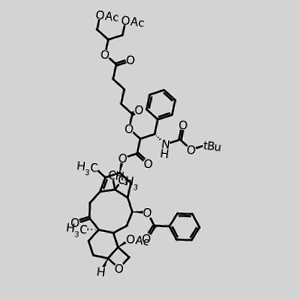 CC(=O)OCC(COC(C)=O)OC(=O)CCCC(=O)OC(C(=O)O[C@H]1CC2[C@@H](OC(=O)c3ccccc3)CC3[C@@](C)(CC[C@H]4OC[C@@]34OC(C)=O)C(=O)CC(=C1C)C2(C)C)[C@@H](NC(=O)OC(C)(C)C)c1ccccc1